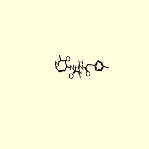 Cc1ccc(CC(=O)N[C@@H](C)C(=O)NC2C=CC=NC(C)C2=O)cc1